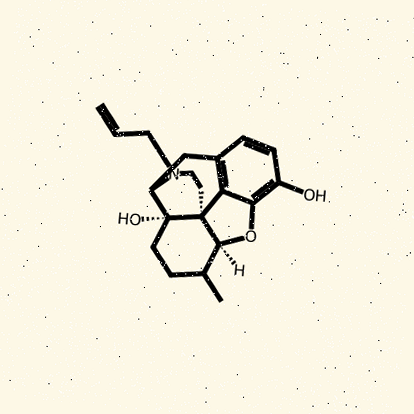 C=CCN1CC[C@]23c4c5ccc(O)c4O[C@H]2C(C)CC[C@@]3(O)C1C5